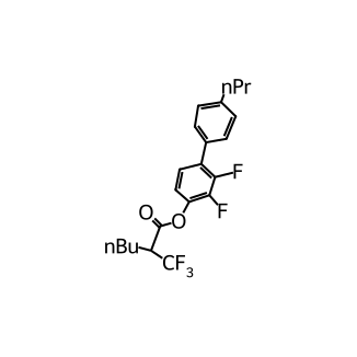 CCCCC(C(=O)Oc1ccc(-c2ccc(CCC)cc2)c(F)c1F)C(F)(F)F